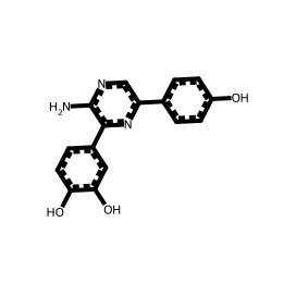 Nc1ncc(-c2ccc(O)cc2)nc1-c1ccc(O)c(O)c1